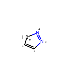 B1C=CN=N1